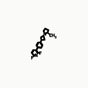 C[C@@H]1CCCN1C1CC(c2ccc(-c3ccc(F)nc3F)cc2)C1